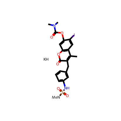 CNS(=O)(=O)Nc1cccc(Cc2c(C)c3cc(I)c(OC(=O)N(C)C)cc3oc2=O)c1.[KH]